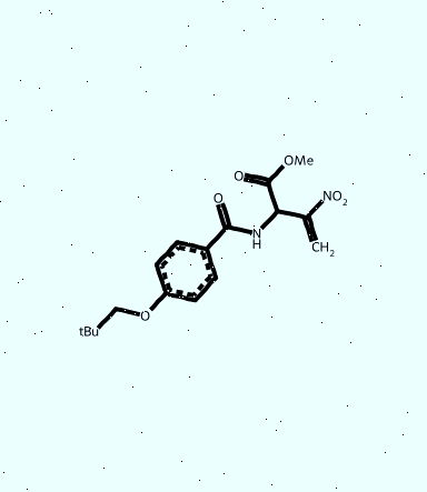 C=C(C(NC(=O)c1ccc(OCC(C)(C)C)cc1)C(=O)OC)[N+](=O)[O-]